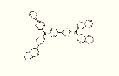 c1ccc(-c2ccc(N(c3ccc(-c4ccc(-n5c6ccc7ccccc7c6c6c7ccccc7ccc65)cc4)cc3)c3ccc(-c4ccc5ccccc5c4)cc3)cc2)cc1